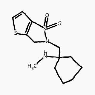 CNC1(CN2Cc3sccc3S2(=O)=O)CCCCC1